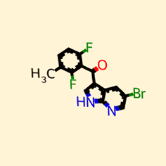 Cc1ccc(F)c(C(=O)c2c[nH]c3ncc(Br)cc23)c1F